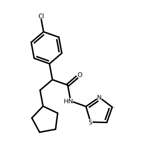 O=C(Nc1n[c]cs1)C(CC1CCCC1)c1ccc(Cl)cc1